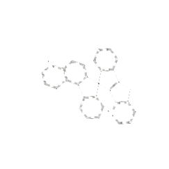 c1cnc2c(c1)CC1=C2C2(c3ccccc31)c1ccccc1-c1c2ccc2ncccc12